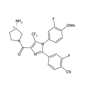 COc1ccc(-n2c(-c3ccc(C#N)c(F)c3)nc(C(=O)N3CC[C@H](N)C3)c2C(F)(F)F)cc1F